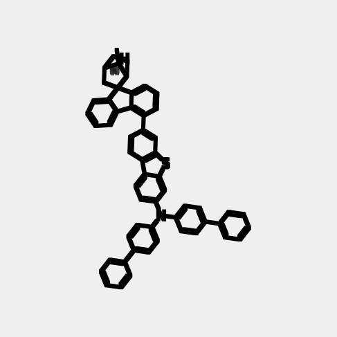 C[C@H]1C2CCC1C1(C2)c2ccccc2-c2c(-c3ccc4c(c3)sc3cc(N(c5ccc(-c6ccccc6)cc5)c5ccc(-c6ccccc6)cc5)ccc34)cccc21